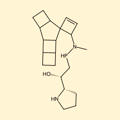 CN(PC[C@@H](O)[C@@H]1CCCN1)C1C=CC12C1CCC1C1C3CCC3C12